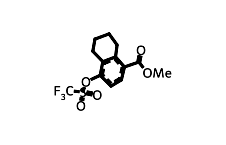 COC(=O)c1ccc(OS(=O)(=O)C(F)(F)F)c2c1CCCC2